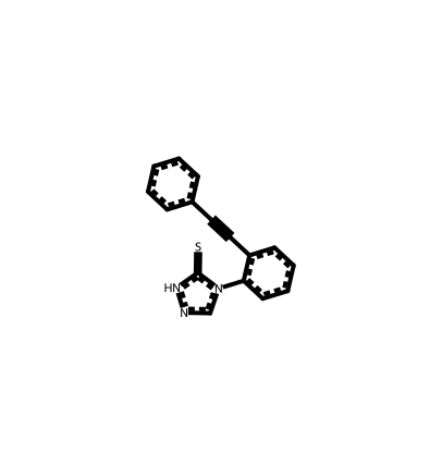 S=c1[nH]ncn1-c1ccccc1C#Cc1ccccc1